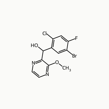 COc1nccnc1C(O)c1cc(Br)c(F)cc1Cl